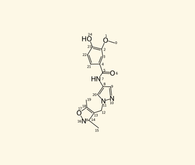 COc1cc(C(=O)Nc2cnn(Cc3c(C)noc3C)c2)ccc1O